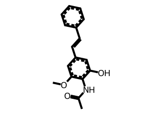 COc1cc(C=Cc2ccccc2)cc(O)c1NC(C)=O